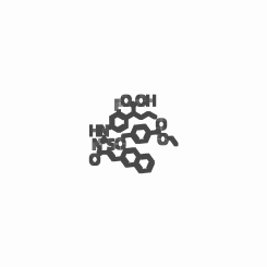 CCCC(C(=O)O)c1ccc(NC2=NC(=O)/C(=C/c3cc4ccccc4cc3OCc3ccc(C(=O)OCC)cc3)S2)cc1F